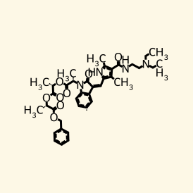 CCN(CC)CCNC(=O)c1c(C)[nH]c(/C=C2\C(=O)N([C@@H](C)C(=O)O[C@@H](C)C(=O)O[C@@H](C)C(=O)OCc3ccccc3)c3cc[c]cc32)c1C